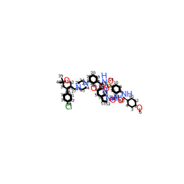 CO[C@H]1CC[C@@H](CNc2ccc(S(=O)(=O)NC(=O)c3cccc(N4CCN(CC5=C(c6ccc(Cl)cc6)CC(C)(C)OC5)CC4)c3Oc3cnc4[nH]ccc4c3)cc2[N+](=O)[O-])CC1